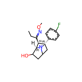 CCC(=NOC)[C@H]1[C@H](c2ccc(F)cc2)CC2CC(O)[C@@H]1N2C